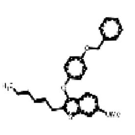 CC=CC=CCc1sc2cc(OC)ccc2c1Oc1ccc(OCc2ccccc2)cc1